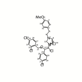 COc1ccc(CCN2C=CN(C(Cl)C(OCc3ccc(Cl)cc3Cl)c3ccc(Cl)cc3)C2)cc1.Cl